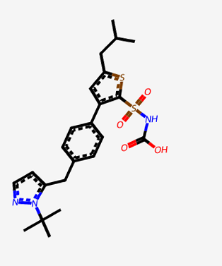 CC(C)Cc1cc(-c2ccc(Cc3ccnn3C(C)(C)C)cc2)c(S(=O)(=O)NC(=O)O)s1